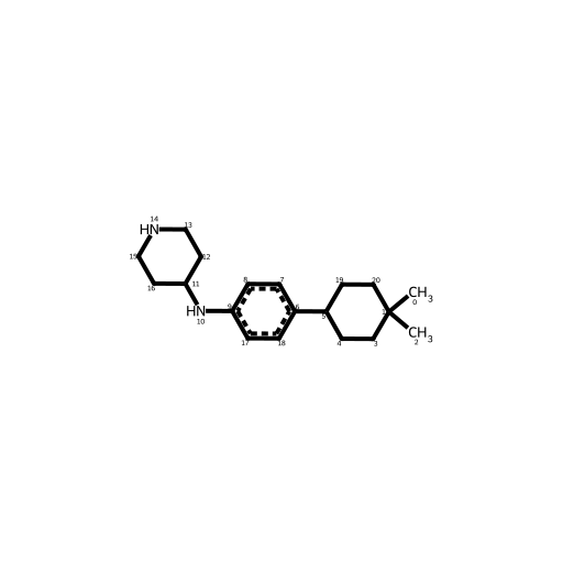 CC1(C)CCC(c2ccc(NC3CCNCC3)cc2)CC1